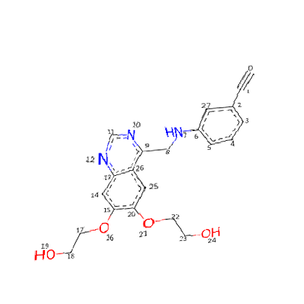 C#Cc1cccc(NCc2ncnc3cc(OCCO)c(OCCO)cc23)c1